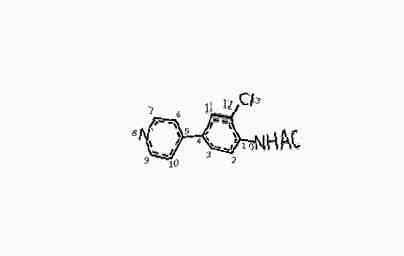 CC(=O)Nc1ccc(-c2ccncc2)cc1Cl